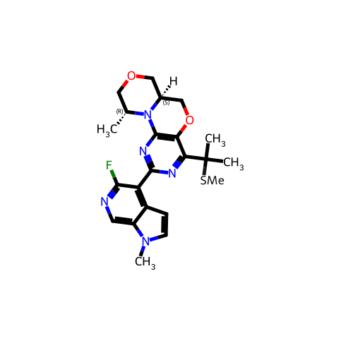 CSC(C)(C)c1nc(-c2c(F)ncc3c2ccn3C)nc2c1OC[C@@H]1COC[C@@H](C)N21